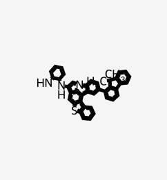 CC1(C)c2ccccc2-c2cccc(-c3ccc4c(c3)c3c5c(cc6c(NC7C=CC=CC7=N)cn4c63)sc3ccccc35)c21